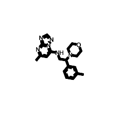 Cc1cccc(C(CNc2cc(C)nc3ncnn23)N2CCOCC2)c1